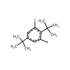 CC(C)(C)c1cc(I)c(C(C)(C)C)c(I)c1